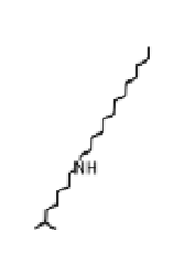 CCCCCCCCCCCCCNCCCCCC(C)C